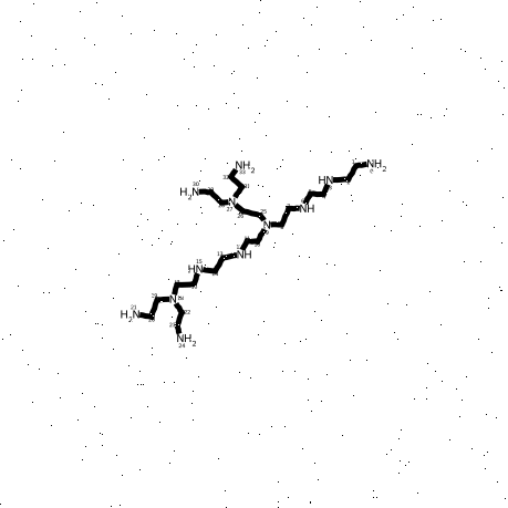 NCCNCCNCCN(CCNCCNCCN(CCN)CCN)CCN(CCN)CCN